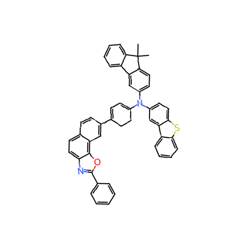 CC1(C)c2ccccc2-c2cc(N(C3=CC=C(c4ccc5ccc6nc(-c7ccccc7)oc6c5c4)CC3)c3ccc4sc5ccccc5c4c3)ccc21